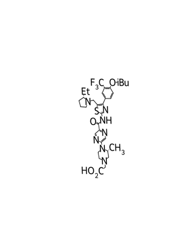 CCC(C)Oc1ccc(-c2nc(NC(=O)c3cnc(N4CCN(CC(=O)O)C[C@H]4C)cn3)sc2CN2CCC[C@@H]2CC)cc1C(F)(F)F